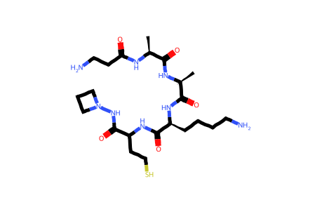 C[C@H](NC(=O)CCN)C(=O)N[C@@H](C)C(=O)N[C@@H](CCCCN)C(=O)NC(CCS)C(=O)NN1CCC1